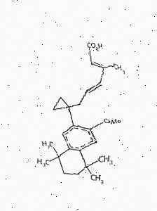 COc1cc2c(cc1C1(CC=CC(C)=CC(=O)O)CC1)C(C)(C)CCC2(C)C